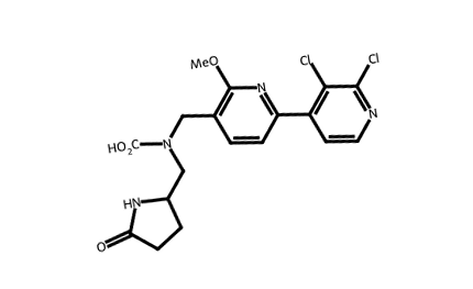 COc1nc(-c2ccnc(Cl)c2Cl)ccc1CN(CC1CCC(=O)N1)C(=O)O